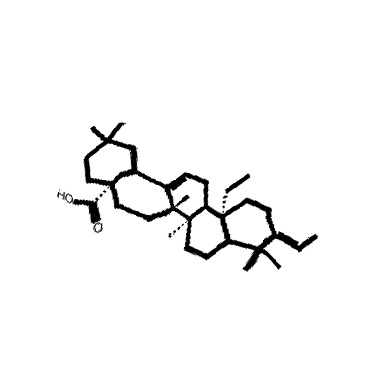 CC=C1CC[C@@]2(CC)C(CC[C@]3(C)C2CC=C2C4CC(C)(C)CC[C@]4(C(=O)O)CC[C@]23C)C1(C)C